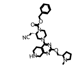 CN1CCC[C@@H]1COc1nc2c(c(N3CCN(C(=O)OCc4ccccc4)[C@@H](CC#N)C3)n1)CCNC2